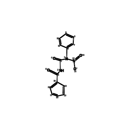 O=C(NC(=O)N(c1ccccc1)[N+](=O)[O-])c1ccccc1